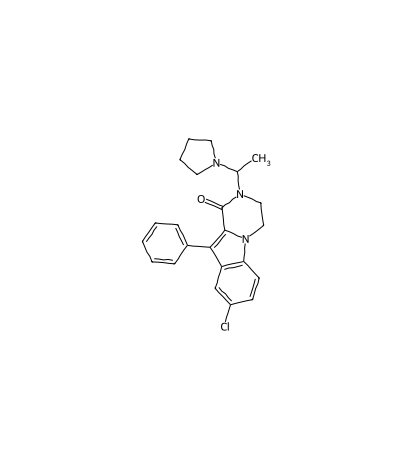 CC(N1CCCC1)N1CCn2c(c(-c3ccccc3)c3cc(Cl)ccc32)C1=O